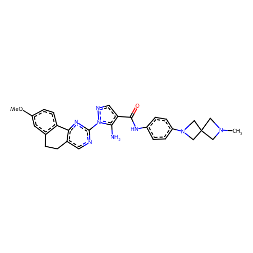 COc1ccc2c(c1)CCc1cnc(-n3ncc(C(=O)Nc4ccc(N5CC6(CN(C)C6)C5)cc4)c3N)nc1-2